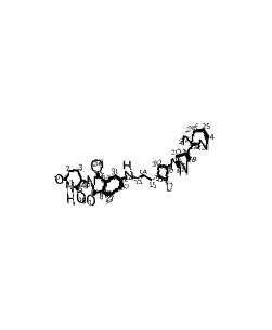 O=C1CCC(N2C(=O)c3ccc(NCCC[C@H]4C[C@H](n5cc(-c6ncccn6)cn5)C4)cc3C2=O)C(=O)N1